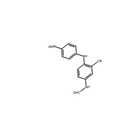 CNc1ccc(Nc2ccc(NC=O)cc2C#N)cc1